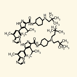 Cc1cc(-c2[nH]nc(C(=O)NC3CCC(N(CCC(C)(C)C)CCC(C)(C)C)CC3)c2C(C)C)cn2ncnc12.Cc1cc(-c2[nH]nc(C(=O)NC3CCC(NCC(C)(C)C)CC3)c2C(C)C)cn2ncnc12